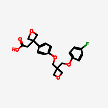 O=C(O)CC1(c2ccc(OCC3(COc4ccc(F)cc4)COC3)cc2)COC1